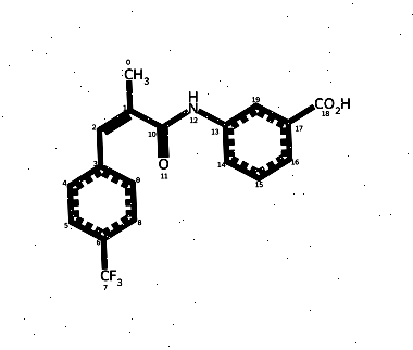 CC(=Cc1ccc(C(F)(F)F)cc1)C(=O)Nc1cccc(C(=O)O)c1